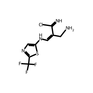 N=C(Cl)/C(=C\Nc1cnc(C(F)(F)F)s1)CN